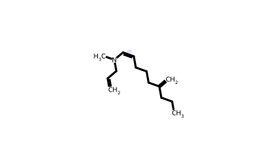 C=CCN(C)/C=C\CCCC(=C)CCC